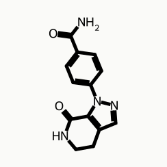 NC(=O)c1ccc(-n2ncc3c2C(=O)NCC3)cc1